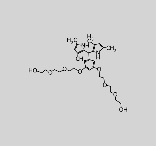 Cc1cc(C)c(C(c2cc(OCCOCCOCCO)cc(OCCOCCOCCO)c2)c2[nH]c(C)cc2C)[nH]1